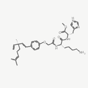 C=C[C@@](C)(/C=C/c1ccc(OCC(=O)N[C@@H](CCCCN)C(=O)N[C@@H](Cc2c[nH]cn2)C(=O)OC)cc1)CCC=C(C)C